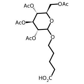 CC(=O)OC[C@H]1OC(OCCCCC(=O)O)[C@H](OC(C)=O)[C@@H](OC(C)=O)[C@@H]1OC(C)=O